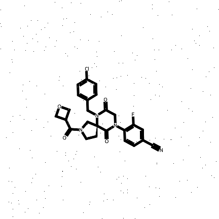 N#Cc1ccc(N2CC(=O)N(Cc3ccc(Cl)cc3)[C@]3(CCN(C(=O)C4COC4)C3)C2=O)c(F)c1